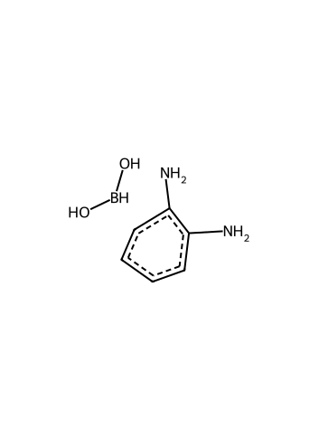 Nc1ccccc1N.OBO